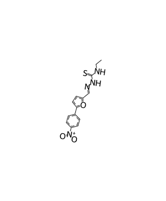 CCNC(=S)N/N=C/c1ccc(-c2ccc([N+](=O)[O-])cc2)o1